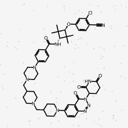 CC1(C)[C@H](NC(=O)c2ccc(N3CCN(CC4CCN(CC5CCN(c6ccc7nnn(C8CCC(=O)NC8=O)c(=O)c7c6)CC5)CC4)CC3)cc2)C(C)(C)[C@H]1Oc1ccc(C#N)c(Cl)c1